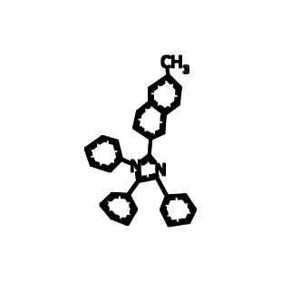 Cc1ccc2cc(-c3nc(-c4ccccc4)c(-c4ccccc4)n3-c3ccccc3)ccc2c1